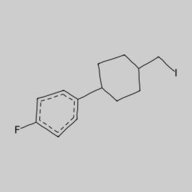 Fc1ccc(C2CCC(CI)CC2)cc1